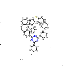 C1=Cc2ccc(-c3nc(-c4ccccc4)nc(-c4cccc(-c5ccccc5)c4)n3)cc2C2(c3ccccc31)c1ccccc1-c1c2ccc2sc3ccccc3c12